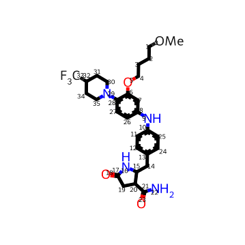 COCCCCOc1cc(Nc2ccc(CC3NC(=O)CC3C(N)=O)cc2)ccc1N1CCC(C(F)(F)F)CC1